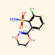 NS(=O)(=O)c1c(F)cccc1C1=NOCCO1